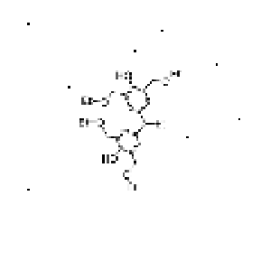 CCOCc1cc(C(CC)c2cc(COCC)c(O)c(COCC)c2)cc(COCC)c1O